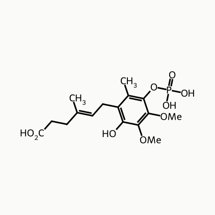 COc1c(O)c(C/C=C(\C)CCC(=O)O)c(C)c(OP(=O)(O)O)c1OC